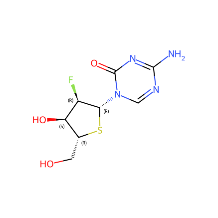 Nc1ncn([C@@H]2S[C@H](CO)[C@@H](O)[C@H]2F)c(=O)n1